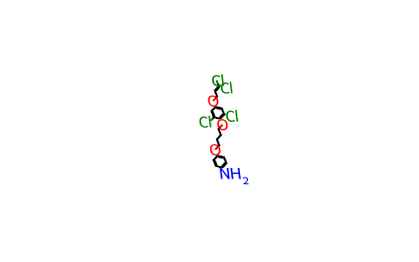 Nc1ccc(OCCCCOc2c(Cl)cc(OCC=C(Cl)Cl)cc2Cl)cc1